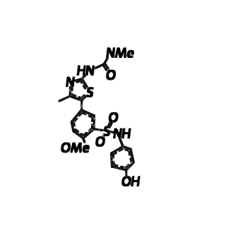 CNC(=O)Nc1nc(C)c(-c2ccc(OC)c(S(=O)(=O)Nc3ccc(O)cc3)c2)s1